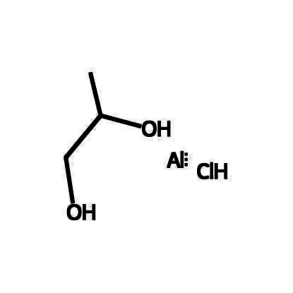 CC(O)CO.Cl.[Al]